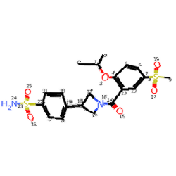 CC(C)Oc1ccc(S(C)(=O)=O)cc1C(=O)N1CC(c2ccc(S(N)(=O)=O)cc2)C1